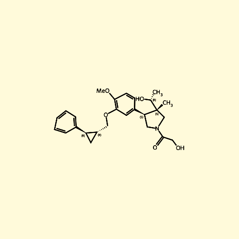 COc1ccc([C@@H]2CN(C(=O)CO)C[C@@]2(C)[C@@H](C)O)cc1OC[C@@H]1C[C@H]1c1ccccc1